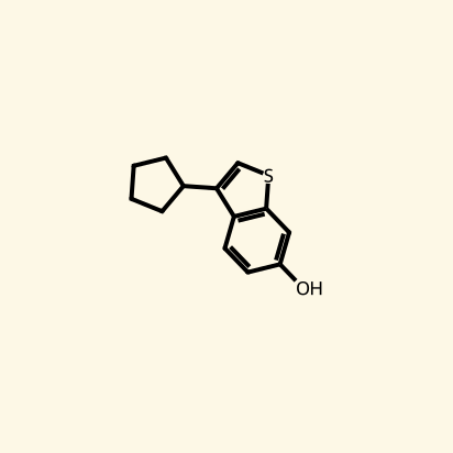 Oc1ccc2c(C3CCCC3)csc2c1